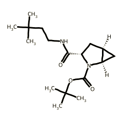 CC(C)(C)CCNC(=O)[C@@H]1C[C@H]2C[C@H]2N1C(=O)OC(C)(C)C